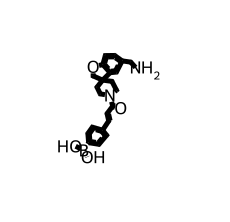 NCc1ccc2c(c1)C1(CCN(C(=O)C=Cc3ccc(B(O)O)cc3)CC1)CO2